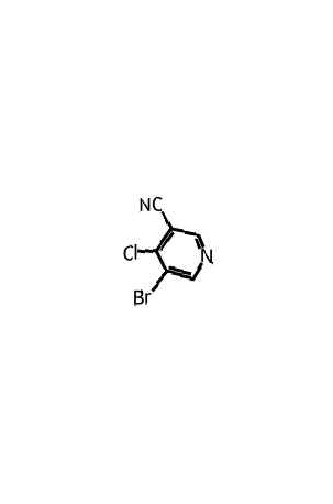 N#Cc1cncc(Br)c1Cl